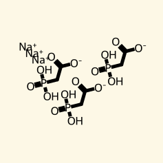 O=C([O-])CP(=O)(O)O.O=C([O-])CP(=O)(O)O.O=C([O-])CP(=O)(O)O.[Na+].[Na+].[Na+]